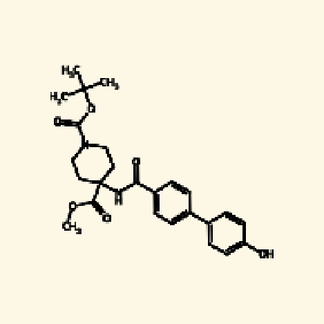 COC(=O)C1(NC(=O)c2ccc(-c3ccc(O)cc3)cc2)CCN(C(=O)OC(C)(C)C)CC1